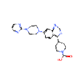 O=C(O)N1CCC(c2ncnc3cc(N4CCN(c5ncccn5)CC4)ccc23)CC1